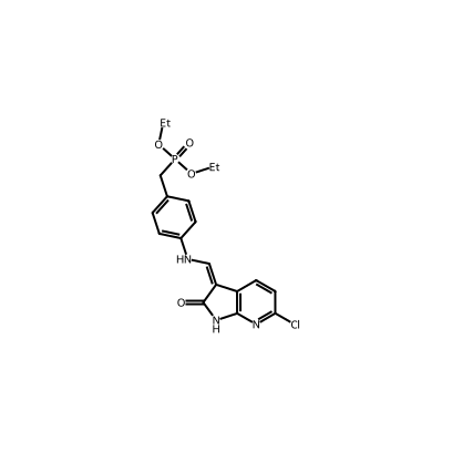 CCOP(=O)(Cc1ccc(NC=C2C(=O)Nc3nc(Cl)ccc32)cc1)OCC